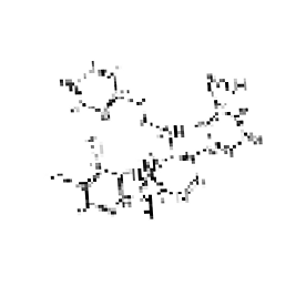 C=C(/N=C\C(=C(/N)NCCc1ccncc1)c1cncc(C(=O)O)c1)Nc1ccc(F)c(Cl)c1